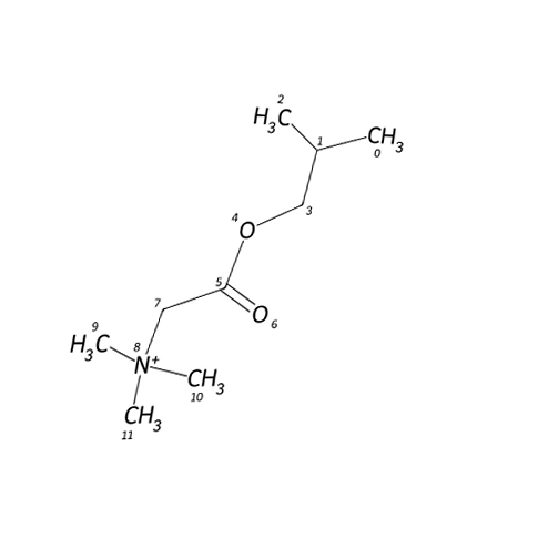 CC(C)COC(=O)C[N+](C)(C)C